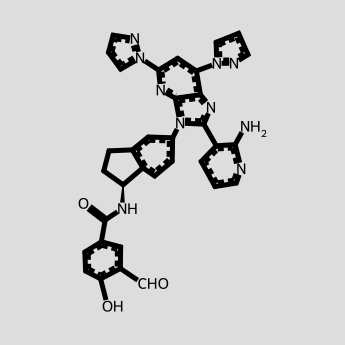 Nc1ncccc1-c1nc2c(-n3cccn3)cc(-n3cccn3)nc2n1-c1ccc2c(c1)CC[C@@H]2NC(=O)c1ccc(O)c(C=O)c1